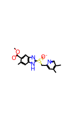 COC(=O)c1cc2nc([S+]([O-])Cc3cc(C)c(C)cn3)[nH]c2cc1C